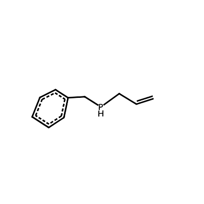 C=CCPCc1ccccc1